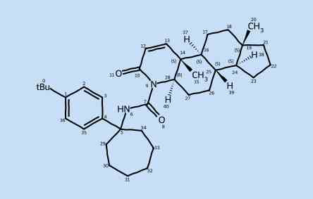 CC(C)(C)c1ccc(C2(NC(=O)N3C(=O)C=C[C@]4(C)[C@H]5CC[C@]6(C)CCC[C@H]6[C@@H]5CC[C@@H]34)CCCCCC2)cc1